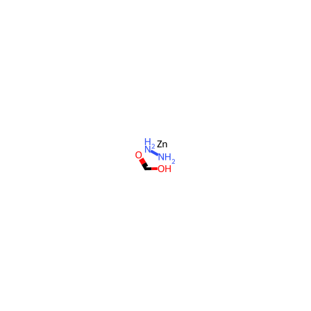 NN.O=CO.[Zn]